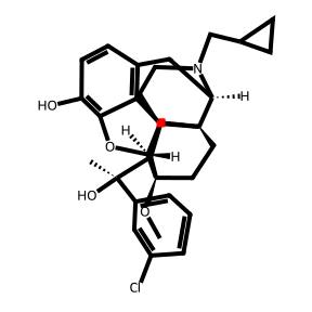 CO[C@]12CC[C@@]3(C[C@@H]1[C@](C)(O)c1cccc(Cl)c1)[C@H]1Cc4ccc(O)c5c4[C@@]3(CCN1CC1CC1)[C@H]2O5